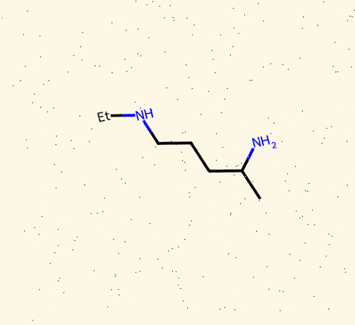 CCNCCCC(C)N